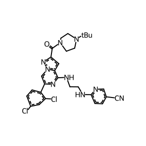 CC(C)(C)N1CCN(C(=O)c2cc3c(NCCNc4ccc(C#N)cn4)nc(-c4ccc(Cl)cc4Cl)cn3n2)CC1